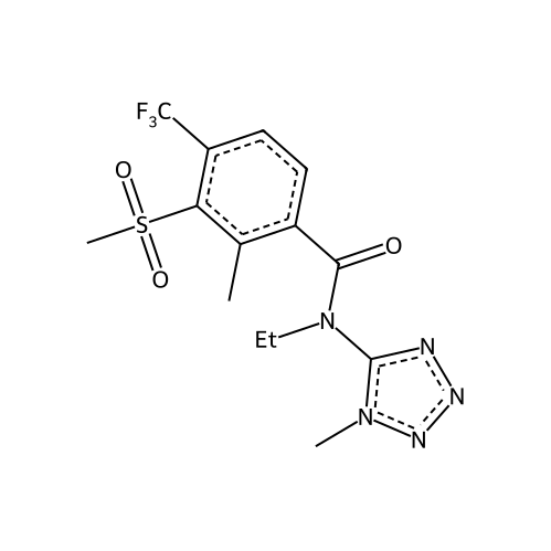 CCN(C(=O)c1ccc(C(F)(F)F)c(S(C)(=O)=O)c1C)c1nnnn1C